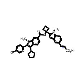 Cn1c(C2(NC(=O)c3ccc4c(C5CCCC5)c(-c5ccc(Cl)cn5)n(C)c4c3)CCC2)nc2cc(/C=C/C(=O)O)ccc21